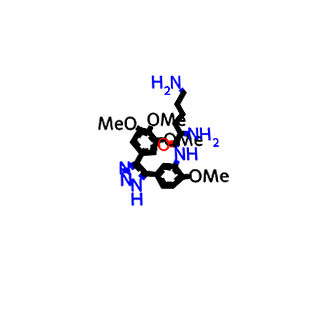 COc1ccc(-c2[nH]nnc2-c2cc(OC)c(OC)c(OC)c2)cc1NC(=O)C(N)CCCCN